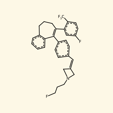 FCCCN1CC(=Cc2ccc(C3=C(c4cc(F)ccc4C(F)(F)F)CCCc4ccccc43)cc2)C1